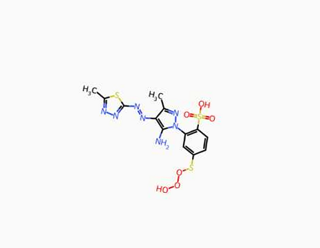 Cc1nnc(N=Nc2c(C)nn(-c3cc(SOOO)ccc3S(=O)(=O)O)c2N)s1